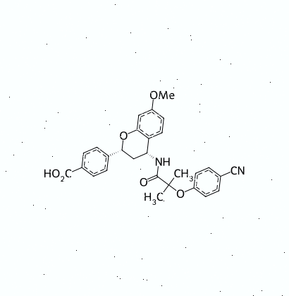 COc1ccc2c(c1)O[C@@H](c1ccc(C(=O)O)cc1)C[C@H]2NC(=O)C(C)(C)Oc1ccc(C#N)cc1